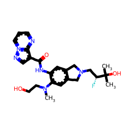 CN(CCO)c1cc2c(cc1NC(=O)c1cnn3cccnc13)CN(C[C@@H](F)C(C)(C)O)C2